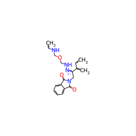 C=CNCOCN/N=C(/CN1C(=O)c2ccccc2C1=O)C(=C)C=C